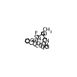 Cc1cc(-c2nc(N(C)C(=O)C(CC(=O)O)Cc3ccccc3)sc2F)c(-c2ccc(N3CCCC3=O)nc2)o1